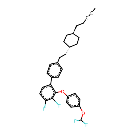 CCCCC[C@H]1CC[C@H](CCc2ccc(-c3ccc(F)c(F)c3Oc3ccc(OC(F)F)cc3)cc2)CC1